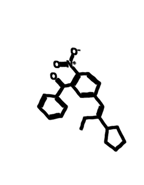 CCC(=Cc1ccc([N+](=O)[O-])c(C(=O)c2ccccc2)c1)C1CCCC1